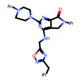 CC(=O)N1CCN(c2nc(NCc3nc(CC(C)C)no3)c3c(n2)C(=O)N(C(C)C)C3)CC1